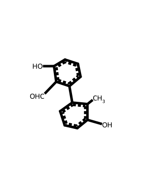 Cc1c(O)cccc1-c1cccc(O)c1C=O